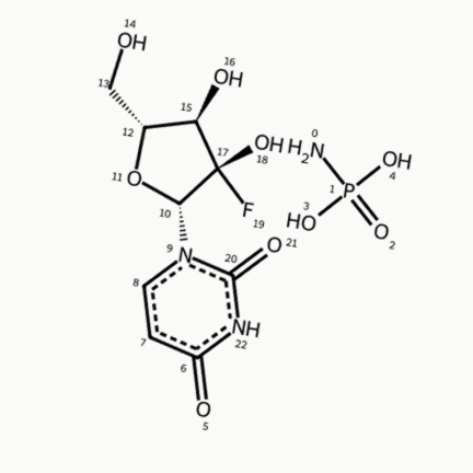 NP(=O)(O)O.O=c1ccn([C@@H]2O[C@H](CO)[C@@H](O)[C@]2(O)F)c(=O)[nH]1